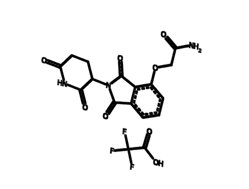 NC(=O)COc1cccc2c1C(=O)N(C1CCC(=O)NC1=O)C2=O.O=C(O)C(F)(F)F